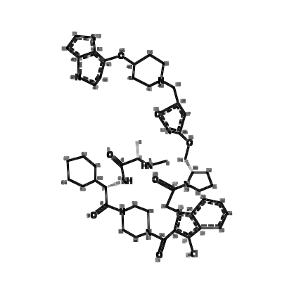 CN[C@@H](C)C(=O)N[C@H](C(=O)N1CCN(C(=O)c2c(Cl)c3ccccc3n2CC(=O)N2CCC[C@H]2COc2cc(CN3CCC(Oc4ccnc5ccsc45)CC3)on2)CC1)C1CCCCC1